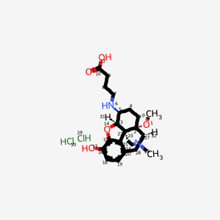 CO[C@@]12CC[C@H](NCCCC(=O)O)[C@@H]3Oc4c(O)ccc5c4[C@@]31CCN(C)[C@@H]2C5.Cl.Cl